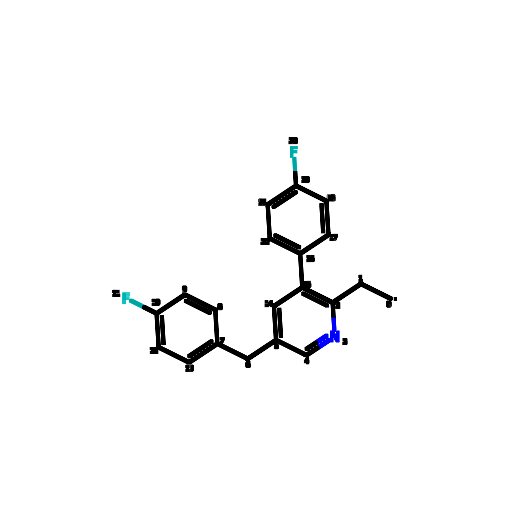 [CH2]Cc1ncc(Cc2ccc(F)cc2)cc1-c1ccc(F)cc1